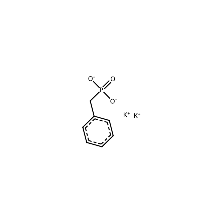 O=P([O-])([O-])Cc1ccccc1.[K+].[K+]